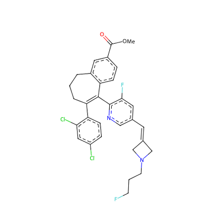 COC(=O)c1ccc2c(c1)CCCC(c1ccc(Cl)cc1Cl)=C2c1ncc(C=C2CN(CCCF)C2)cc1F